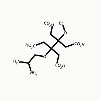 CCOC(CC(=O)O)(CC(=O)O)C(CC(=O)O)(CC(=O)O)OCC(N)N